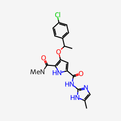 CNC(=O)c1[nH]c(C(=O)Nc2ncc(C)[nH]2)cc1OC(C)c1ccc(Cl)cc1